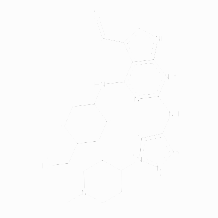 CN1CCC(n2cc(Nc3nc(NC4CCC(CO)CC4)c4c(C=O)c[nH]c4n3)cn2)CC1